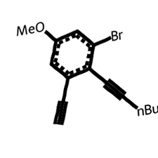 C#Cc1cc(OC)cc(Br)c1C#CCCCC